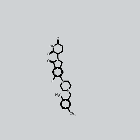 Cc1ccc(C)c(CN2CCN(c3cc4c(cc3F)C(=O)N(C3CCC(=O)NC3=O)C4)CC2)c1